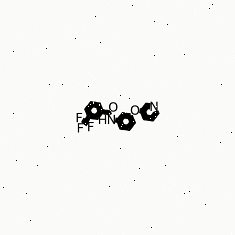 O=C(Nc1cccc(Oc2cccnc2)c1)c1cccc(C(F)(F)F)c1